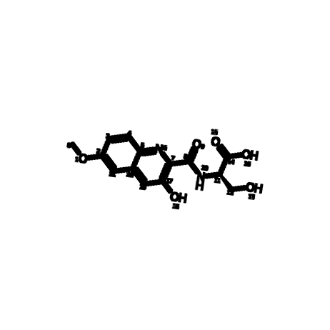 COc1ccc2nc(C(=O)N[C@H](CO)C(=O)O)c(O)cc2c1